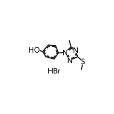 Br.CSc1nc(C)n(-c2ccc(O)cc2)n1